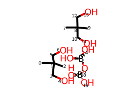 CC(C)(CO)CO.CC(C)(CO)CO.OB(O)OB(O)O